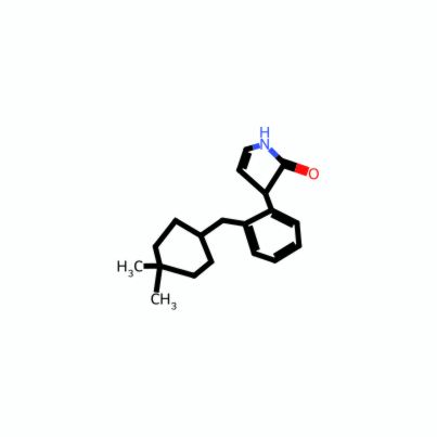 CC1(C)CCC(Cc2ccccc2C2C=CNC2=O)CC1